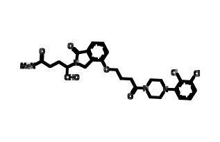 CNC(=O)CCC(C=O)N1Cc2c(OCCCC(=O)N3CCN(c4cccc(Cl)c4Cl)CC3)cccc2C1=O